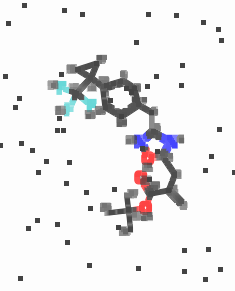 C=C(Cc1nc(Cc2ccc(C3(C(F)(F)F)CC3)cc2)no1)C(=O)OC(C)(C)C